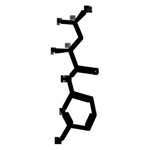 CC[C@H](F)C[C@H](F)C(=O)Nc1cccc(Br)n1